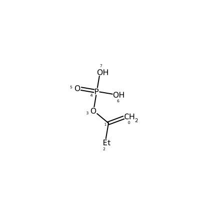 C=C(CC)OP(=O)(O)O